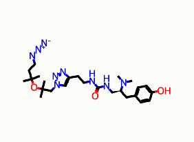 CN(C)[C@H](CNC(=O)NCCc1cn(CC(C)(C)OC(C)(C)CCN=[N+]=[N-])nn1)Cc1ccc(O)cc1